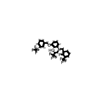 O[C@H](CN(Cc1cccc(C(F)(F)F)c1F)c1cccc(OCc2cccc(SC(F)(F)F)c2)c1)C(F)(F)F